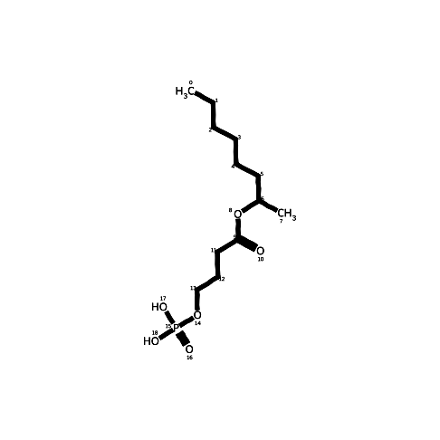 CCCCCCC(C)OC(=O)CCCOP(=O)(O)O